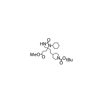 COC(=O)CCC1(CCC2CCN(C(=O)OC(C)(C)C)CC2)CNC(=O)N1C1CCCCC1